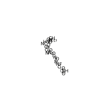 CCN(C)S(=O)(=O)Nc1ccc(F)c(Oc2ccc3ncn([C@H]4COC5(CCN(C(=O)CN6CCN(c7ccc(C8CCC(=O)NC8=O)cc7F)CC6)CC5)C4)c(=O)c3c2)c1C#N